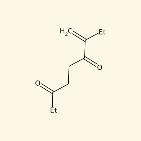 C=C(CC)C(=O)CCC(=O)CC